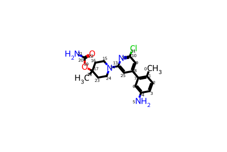 Cc1ccc(N)cc1-c1cc(Cl)nc(N2CCC(C)(OC(N)=O)CC2)c1